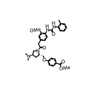 COC(=O)c1ccc(OC[C@@H]2C[C@@H](N(C)C)CN2C(=O)Cc2ccc(NC(=O)Nc3ccccc3C)c(OC)c2)cc1